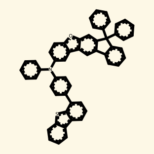 c1ccc(N(c2ccc(-c3cccc4c3sc3ccccc34)cc2)c2ccc3oc4cc5c(cc4c3c2)-c2ccccc2C5(c2ccccc2)c2ccccc2)cc1